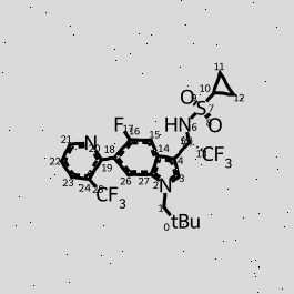 CC(C)(C)Cn1cc([C@H](NS(=O)(=O)C2CC2)C(F)(F)F)c2cc(F)c(-c3ncccc3C(F)(F)F)cc21